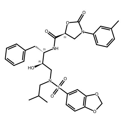 Cc1cccc(N2C[C@@H](C(=O)N[C@@H](Cc3ccccc3)[C@H](O)CN(CC(C)C)S(=O)(=O)c3ccc4c(c3)OCO4)OC2=O)c1